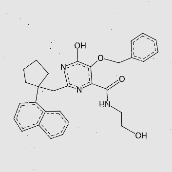 O=C(NCCO)c1nc(CC2(c3cccc4ccccc34)CCCC2)nc(O)c1OCc1ccccc1